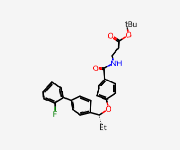 CC[C@@H](Oc1ccc(C(=O)NCCC(=O)OC(C)(C)C)cc1)c1ccc(-c2ccccc2F)cc1